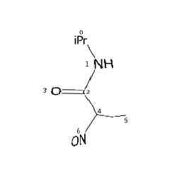 CC(C)NC(=O)C(C)N=O